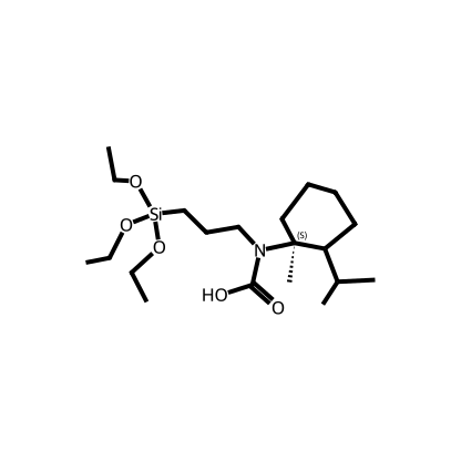 CCO[Si](CCCN(C(=O)O)[C@@]1(C)CCCCC1C(C)C)(OCC)OCC